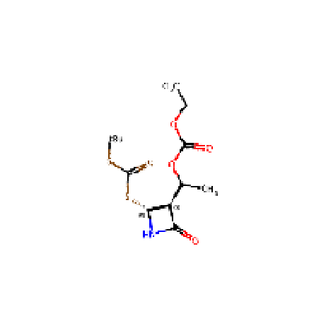 CC(OC(=O)OCC(Cl)(Cl)Cl)[C@H]1C(=O)N[C@@H]1SC(=S)SC(C)(C)C